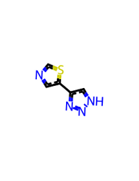 c1ncc(-c2c[nH]nn2)s1